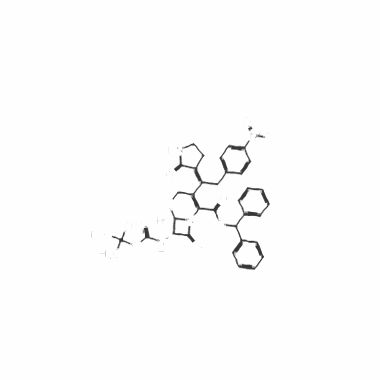 CC(C)(C)OC(=O)N[C@@H]1C(=O)N2C(C(=O)OC(c3ccccc3)c3ccccc3)=C(C(Cc3ccc([N+](=O)[O-])cc3)=C3CCNC3=O)CS[C@H]12